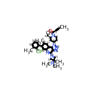 CC#CC(=O)N1CC[C@H](n2nnc3c(N4CC(C)(N(C)C)C4)nc4c(F)c(-c5cccc(C)c5Cl)c(C)cc4c32)C[C@H]1CC#N